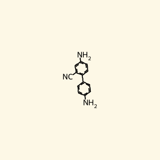 N#Cc1cc(N)ccc1-c1ccc(N)cc1